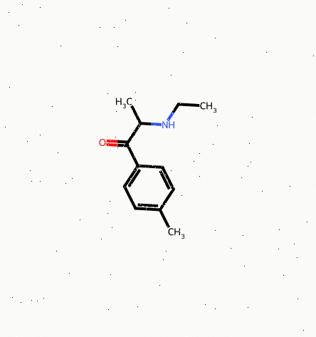 CCNC(C)C(=O)c1ccc(C)cc1